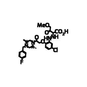 COCC(=O)C(NNc1cc(Cl)ccc1OCC(=O)N1C[C@H](C)N(Cc2ccc(F)cc2)C[C@H]1C)C(=O)O